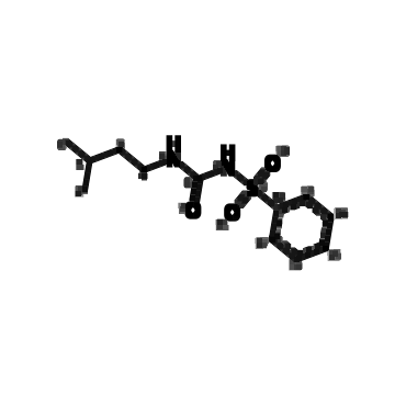 CC(C)CCNC(=O)NS(=O)(=O)c1ccccc1